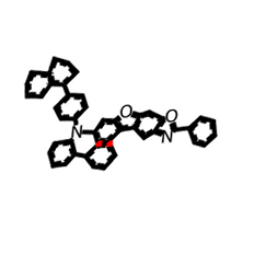 c1ccc(-c2nc3cc4c(cc3o2)oc2cc(N(c3ccc(-c5cccc6ccccc56)cc3)c3ccccc3-c3ccccc3)ccc24)cc1